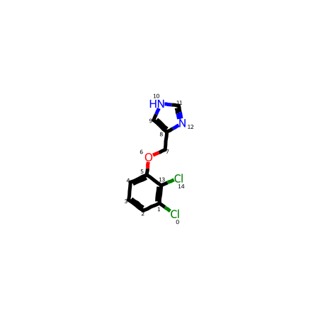 Clc1cccc(OCc2c[nH]cn2)c1Cl